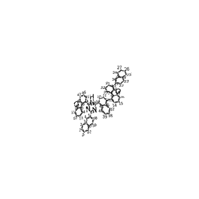 c1ccc2cc(C3=NC(c4ccc(-c5cccc6oc7c(-c8ccc9ccccc9c8)cccc7c56)c5ccccc45)NC(c4cccc5oc6ccccc6c45)=N3)ccc2c1